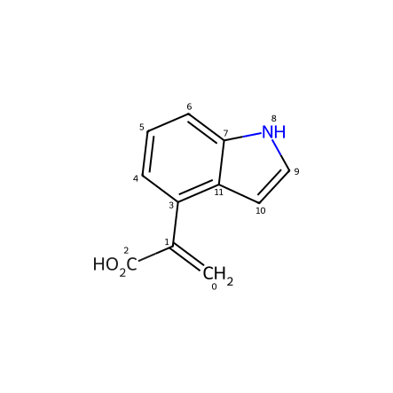 C=C(C(=O)O)c1cccc2[nH]ccc12